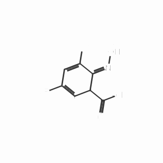 O=C(Cl)C1C=C(F)C=C(F)C1=NO